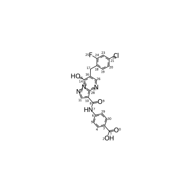 O=C(O)c1ccc(NC(=O)c2cnn3c(O)c(Cc4ccc(Cl)cc4F)cnc23)cc1